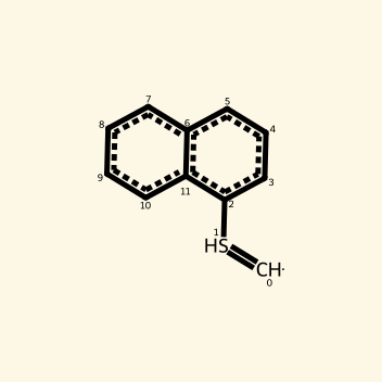 [CH]=[SH]c1cccc2ccccc12